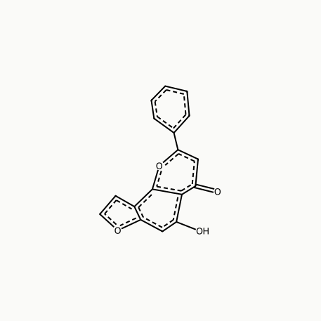 O=c1cc(-c2ccccc2)oc2c1c(O)cc1occc12